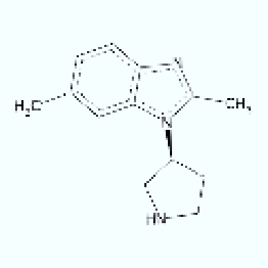 Cc1ccc2nc(C)n([C@H]3CCNC3)c2c1